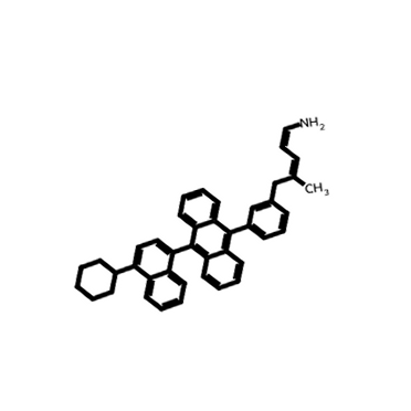 C/C(=C/C=C\N)Cc1cccc(-c2c3ccccc3c(-c3ccc(C4CCCCC4)c4ccccc34)c3ccccc23)c1